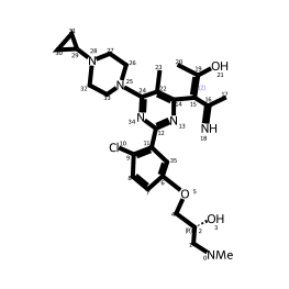 CNC[C@@H](O)COc1ccc(Cl)c(-c2nc(/C(C(C)=N)=C(\C)O)c(C)c(N3CCN(C4CC4)CC3)n2)c1